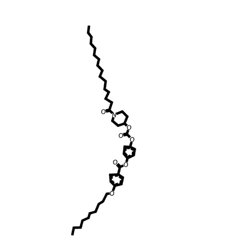 CCCCCCCCCCCCCCCC(=O)N1CCC(OC(=O)Oc2ccc(OC(=O)c3ccc(OCCCCCCCCCC)cc3)cc2)CC1